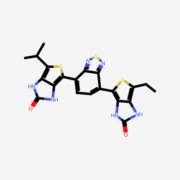 CCc1sc(-c2ccc(-c3sc(C(C)C)c4[nH]c(=O)[nH]c34)c3nsnc23)c2[nH]c(=O)[nH]c12